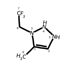 CC1=CNNN1CC(F)(F)F